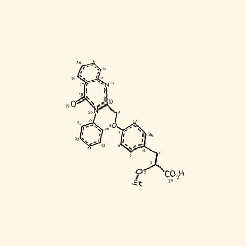 CCOC(Cc1ccc(OCc2nc3ccccc3c(=O)n2-c2ccccc2)cc1)C(=O)O